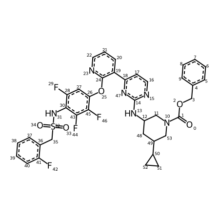 O=C(OCc1ccccc1)N1CC(Nc2nccc(-c3cccnc3Oc3cc(F)c(NS(=O)(=O)Cc4ccccc4F)c(F)c3F)n2)CC(C2CC2)C1